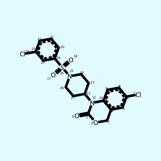 O=C1OCc2cc(Cl)ccc2N1C1CCN(S(=O)(=O)c2cccc(Cl)c2)CC1